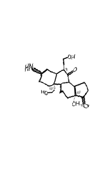 C[C@]12CCC3C(C(=O)[C@H](CO)C4CC(=N)CC[C@]34CO)C1CCC2=O